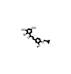 COc1cc(/C=C/C(=O)c2cc(O)cc(O)c2Br)ccc1OCC1CC1